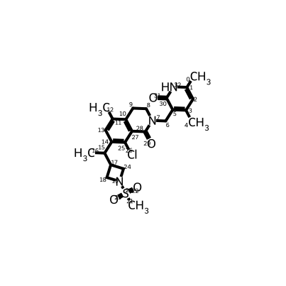 Cc1cc(C)c(CN2CCc3c(C)cc(C(C)C4CN(S(C)(=O)=O)C4)c(Cl)c3C2=O)c(=O)[nH]1